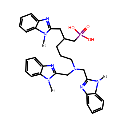 CCn1c(CC(CCCN(Cc2nc3ccccc3n2CC)Cc2nc3ccccc3n2CC)CP(=O)(O)O)nc2ccccc21